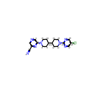 N#Cc1cncc(N2CCC(C3CCN(c4ncc(Cl)cn4)CC3)CC2)n1